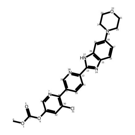 COC(=O)Oc1cnc(-c2ccc(-c3nc4ccc(N5CCOCC5)cc4[nH]3)nc2)c(Cl)c1